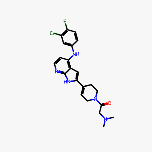 CN(C)CC(=O)N1CC=C(c2cc3c(Nc4ccc(F)c(Cl)c4)ccnc3[nH]2)CC1